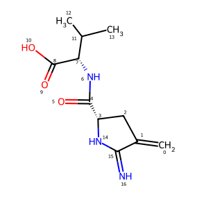 C=C1C[C@@H](C(=O)N[C@H](C(=O)O)C(C)C)NC1=N